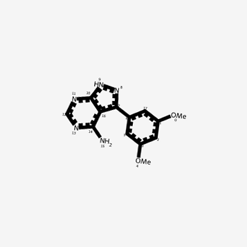 COc1cc(OC)cc(-c2n[nH]c3ncnc(N)c23)c1